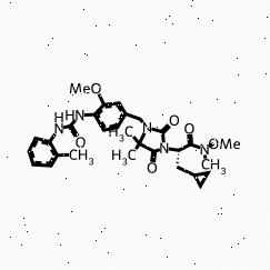 COc1cc(CN2C(=O)N([C@@H](CC3CC3)C(=O)N(C)OC)C(=O)C2(C)C)ccc1NC(=O)Nc1ccccc1C